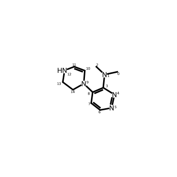 CN(C)c1nnccc1N1C=CNCC1